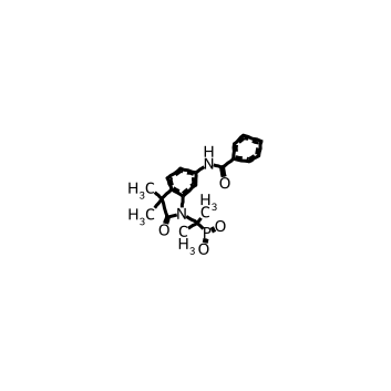 CC1(C)C(=O)N(C(C)(C)P(=O)=O)c2cc(NC(=O)c3ccccc3)ccc21